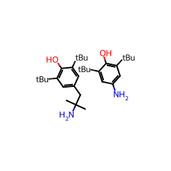 CC(C)(C)c1cc(N)cc(C(C)(C)C)c1O.CC(C)(N)Cc1cc(C(C)(C)C)c(O)c(C(C)(C)C)c1